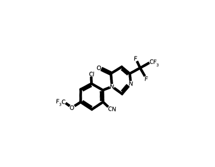 N#Cc1cc(OC(F)(F)F)cc(Cl)c1-n1cnc(C(F)(F)C(F)(F)F)cc1=O